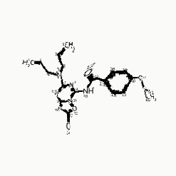 C=CCN(CC=C)c1nc(NC(=O)c2ccc(OC)cc2)n2oc(=O)nc2n1